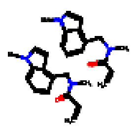 C=CC(=O)N(C)Cc1cccc2c1ccn2CC.C=CC(=O)N(C)Cc1cccc2c1ccn2CC